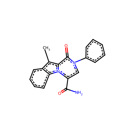 Cc1c2ccccc2n2c(C(N)=O)cn(-c3ccccc3)c(=O)c12